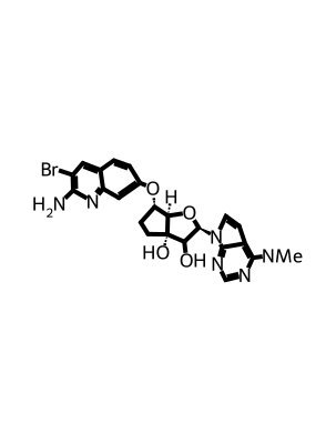 CNc1ncnc2c1ccn2[C@@H]1O[C@@H]2[C@@H](Oc3ccc4cc(Br)c(N)nc4c3)CC[C@]2(O)C1O